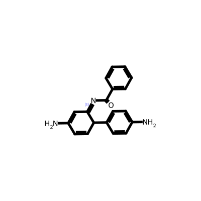 NC1=C/C(=N/C(=O)c2ccccc2)C(c2ccc(N)cc2)C=C1